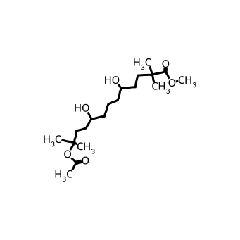 COC(=O)C(C)(C)CCC(O)CCCC(O)CCC(C)(C)OC(C)=O